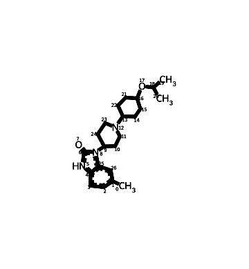 Cc1ccc2[nH]c(=O)n(C3CCN(C4CCC(OC(C)C)CC4)CC3)c2c1